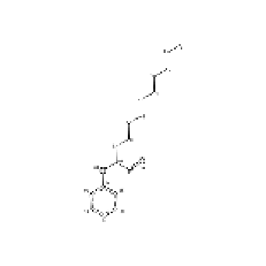 CCCCCCCCCCC([C]=O)Oc1ccccc1